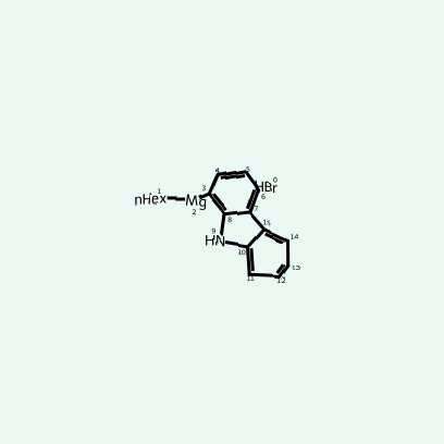 Br.CCCCC[CH2][Mg][c]1cccc2c1[nH]c1ccccc12